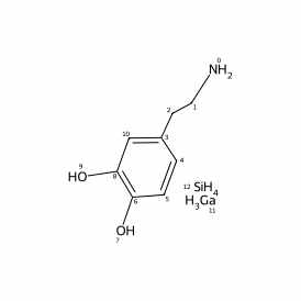 NCCc1ccc(O)c(O)c1.[GaH3].[SiH4]